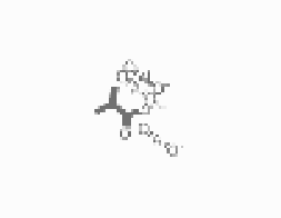 C=C(C)[C](=O)[Zr+3].[O]=[Al][O-].[O]=[Al][O-].[O]=[Al][O-]